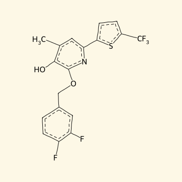 Cc1cc(-c2ccc(C(F)(F)F)s2)nc(OCc2ccc(F)c(F)c2)c1O